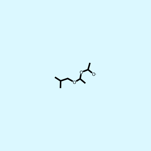 CC(C)COC(C)OC(C)[O]